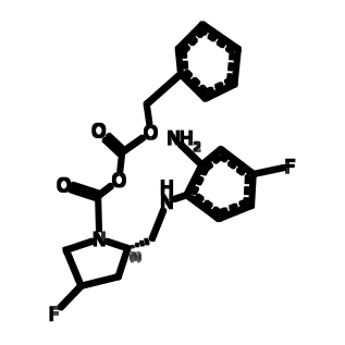 Nc1cc(F)ccc1NC[C@@H]1CC(F)CN1C(=O)OC(=O)OCc1ccccc1